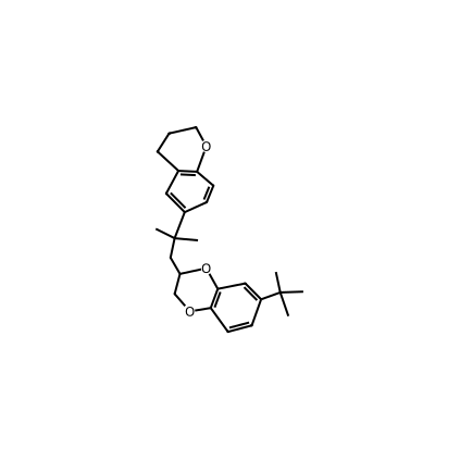 CC(C)(C)c1ccc2c(c1)OC(CC(C)(C)c1ccc3c(c1)CCCO3)CO2